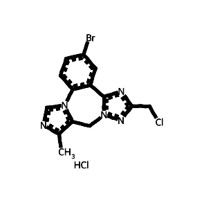 Cc1ncn2c1Cn1nc(CCl)nc1-c1cc(Br)ccc1-2.Cl